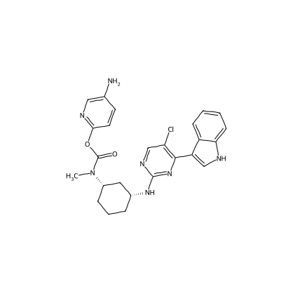 CN(C(=O)Oc1ccc(N)cn1)[C@H]1CCC[C@@H](Nc2ncc(Cl)c(-c3c[nH]c4ccccc34)n2)C1